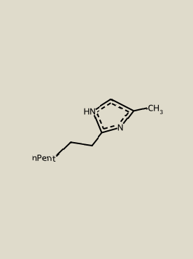 CCCCCCCc1nc(C)c[nH]1